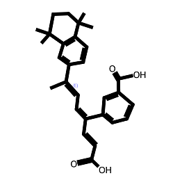 C/C(=C\C=C(C=CC(=O)O)c1cccc(C(=O)O)c1)c1ccc2c(c1)C(C)(C)CCC2(C)C